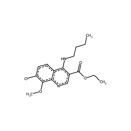 CCCCNc1c(C(=O)OCC)cnc2c(OC)c(Cl)ccc12